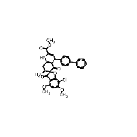 COC(=O)C1=CC(c2ccc(-c3ccccc3)cc2)C2=C(CC(C)C3(Oc4c(Cl)c(OC)cc(OC)c4C3=O)C2=O)N1